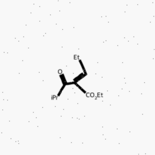 CCC=C(C(=O)OCC)C(=O)C(C)C